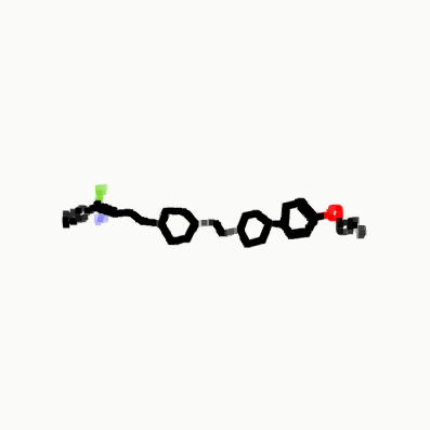 N#C/C(F)=C/CC[C@H]1CC[C@H](CC[C@H]2CC[C@H](c3ccc(OC(F)(F)F)cc3)CC2)CC1